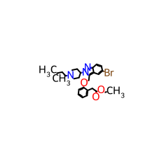 CCOC(=O)Cc1ccccc1OCc1c2cc(Br)ccc2nn1C1CCN(CCC(C)C)CC1